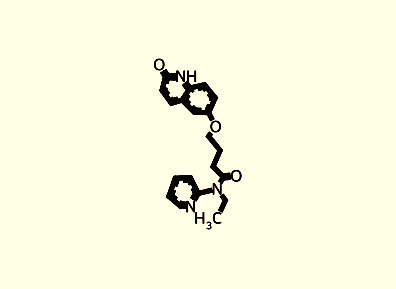 CCN(C(=O)CCCOc1ccc2[nH]c(=O)ccc2c1)c1ccccn1